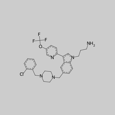 NCCCn1cc(-c2ccc(OC(F)(F)F)cn2)c2cc(CN3CCN(Cc4ccccc4Cl)CC3)ccc21